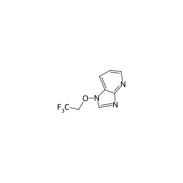 FC(F)(F)COn1cnc2ncccc21